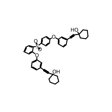 O=S(=O)(c1ccc(Oc2cccc(C#CC3(O)CCCCC3)c2)cc1)c1ccccc1Oc1cccc(C#CC2(O)CCCCC2)c1